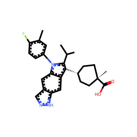 Cc1cc(-n2c(C(C)C)c([C@H]3CC[C@](C)(C(=O)O)CC3)c3cc4[nH]ncc4cc32)ccc1F